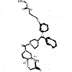 CC(C)(C)OC(=O)NCCOc1cccc([C@H](c2ccccc2)C2CCN(C(=O)N3CC[C@@H]4OCC(=O)N[C@@H]4C3)CC2)c1